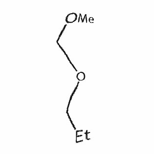 CCCOCOC